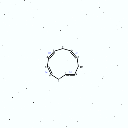 [C]1=C\C/C=C\C=C/C/C=C/C/1